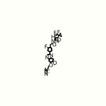 COc1cc2nc(-c3ccc(CC(=O)Nc4cc(C5(C(F)(F)F)CC5)on4)c(F)c3)cnc2cc1OCCN=[N+]=[N-]